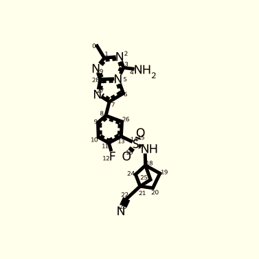 Cc1nc(N)n2cc(-c3ccc(F)c(S(=O)(=O)NC45CCC(C#N)(C4)C5)c3)nc2n1